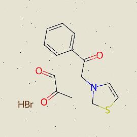 Br.CC(=O)C=O.O=C(CN1C=CSC1)c1ccccc1